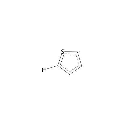 Fc1cc[c]s1